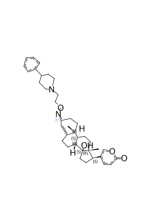 C[C@]12CC/C(=N\OCCN3CCC(c4ccccc4)CC3)C=C1CC[C@@H]1[C@@H]2CC[C@]2(C)[C@@H](c3ccc(=O)oc3)CC[C@]12O